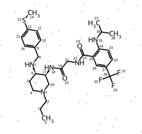 CCCN1CC[C@@H](NCc2ccc(SC)cc2)[C@@H](NC(=O)CNC(=O)c2cc(C(F)(F)F)ccc2NC(C)C)C1